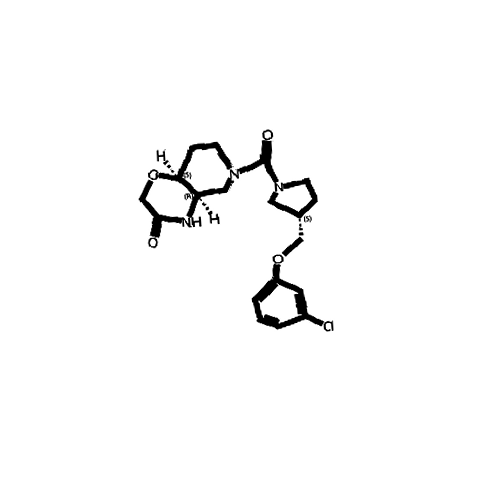 O=C1CO[C@H]2CCN(C(=O)N3CC[C@H](COc4cccc(Cl)c4)C3)C[C@H]2N1